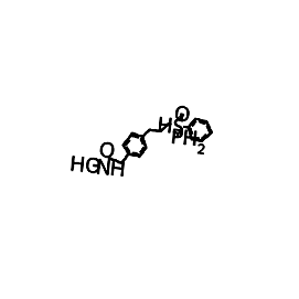 O=C(Cc1ccc(CCC[SH](=O)(P)c2ccccc2)cc1)NO